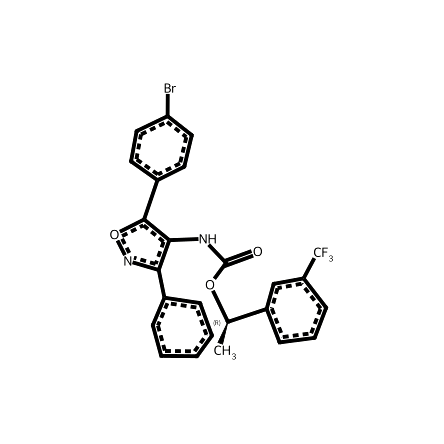 C[C@@H](OC(=O)Nc1c(-c2ccccc2)noc1-c1ccc(Br)cc1)c1cccc(C(F)(F)F)c1